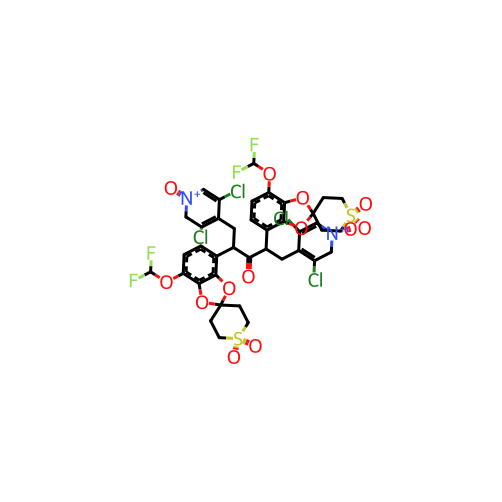 O=C(C(CC1=C(Cl)C[N+](=O)C=C1Cl)c1ccc(OC(F)F)c2c1OC1(CCS(=O)(=O)CC1)O2)C(CC1=C(Cl)C[N+](=O)C=C1Cl)c1ccc(OC(F)F)c2c1OC1(CCS(=O)(=O)CC1)O2